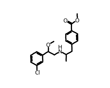 COC(=O)c1ccc(CC(C)NCC(OC)c2cccc(Cl)c2)cc1